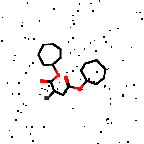 CCC(CC(=O)OC1CCCCCC1)C(=O)OC1CCCCCC1